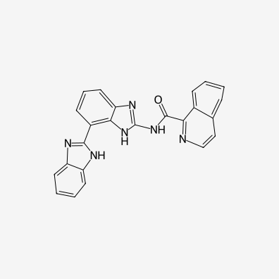 O=C(Nc1nc2cccc(-c3nc4ccccc4[nH]3)c2[nH]1)c1nccc2ccccc12